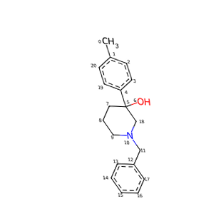 Cc1ccc(C2(O)CCCN(Cc3ccccc3)C2)cc1